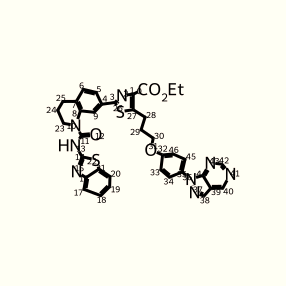 CCOC(=O)c1nc(-c2ccc3c(c2)N(C(=O)Nc2nc4ccccc4s2)CCC3)sc1CCCOc1ccc(-n2ncc3cncnc32)cc1